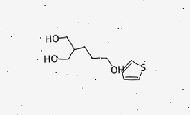 OCCCC(CO)CO.c1ccsc1